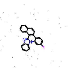 Ic1ccc2c3ccc4ccccc4c3c3nc4ccccc4n3c2c1